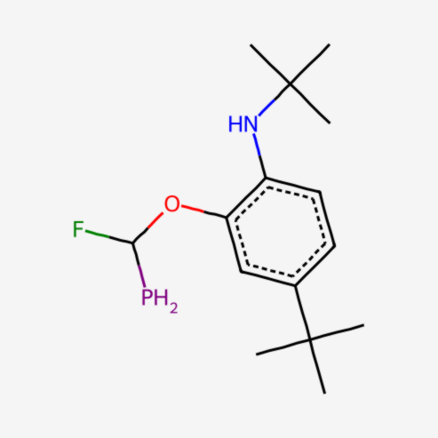 CC(C)(C)Nc1ccc(C(C)(C)C)cc1OC(F)P